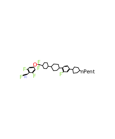 CCCCCC1CCC(c2ccc(C3CCC(C4CCC(C(F)(F)Oc5cc(F)c(/C=C/F)c(F)c5)CC4)CC3)c(F)c2)CC1